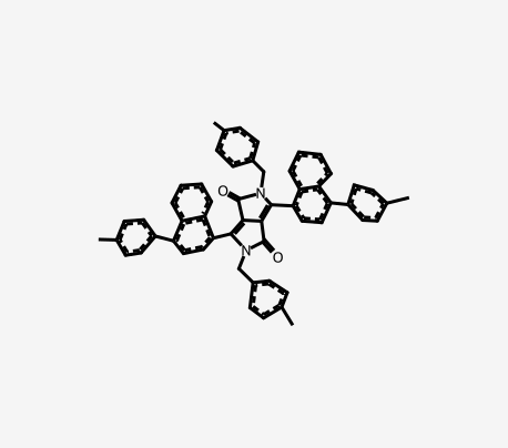 Cc1ccc(CN2C(=O)C3=C(c4ccc(-c5ccc(C)cc5)c5ccccc45)N(Cc4ccc(C)cc4)C(=O)C3=C2c2ccc(-c3ccc(C)cc3)c3ccccc23)cc1